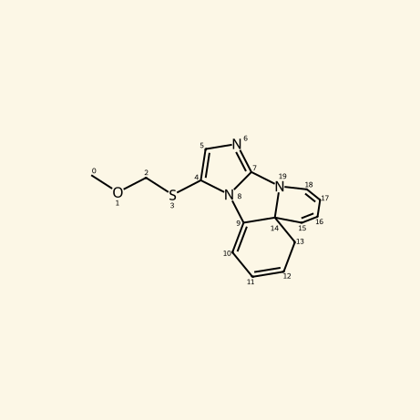 COCSc1cnc2n1C1=CC=CCC13C=CC=CN23